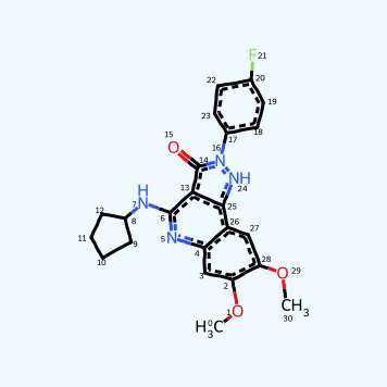 COc1cc2nc(NC3CCCC3)c3c(=O)n(-c4ccc(F)cc4)[nH]c3c2cc1OC